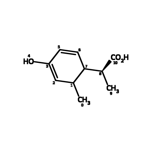 CC1C=C(O)C=CC1[C@H](C)C(=O)O